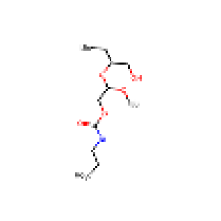 CC(C)(C)CC(CO)OC(COC(=O)NCCC(=O)O)OC(C)(C)C